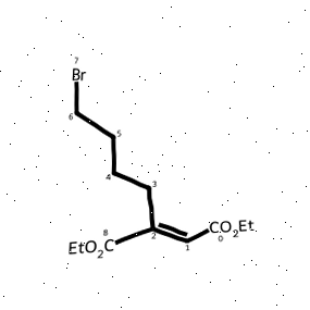 CCOC(=O)C=C(CCCCBr)C(=O)OCC